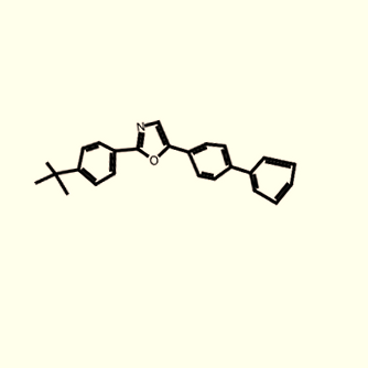 CC(C)(C)c1ccc(-c2ncc(-c3ccc(-c4ccccc4)cc3)o2)cc1